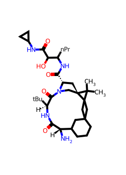 CCCC(NC(=O)[C@@H]1C[C@]23CN1C(=O)[C@H](C(C)(C)C)NC(=O)[C@@H](N)C1CCCC4(C1)CC2(C4)C3(C)C)C(O)C(=O)NC1CC1